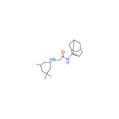 CC1CC(NCC(=O)NC2C3CC4CC(C3)CC2C4)CC(C)(C)C1